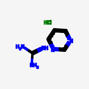 Cl.N=C(N)N.c1cncnc1